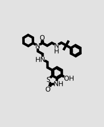 CC(C)(CNCCC(=O)N(CCNCCc1ccc(O)c2[nH]c(=O)sc12)C1CCCCC1)c1ccccc1